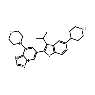 CC(C)c1c(-c2cc(N3CCOCC3)c3ncnn3c2)[nH]c2ccc(C3CCNCC3)cc12